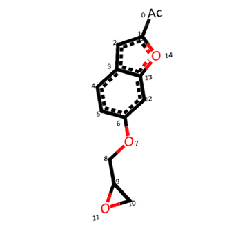 CC(=O)c1cc2ccc(OCC3CO3)cc2o1